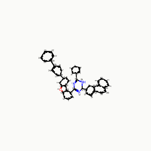 c1ccc(C2=NC(c3cccc4oc5cc(-c6ccc(-c7ccccc7)cc6)ccc5c34)=NC(c3ccc4ccc5ccccc5c4c3)N2)cc1